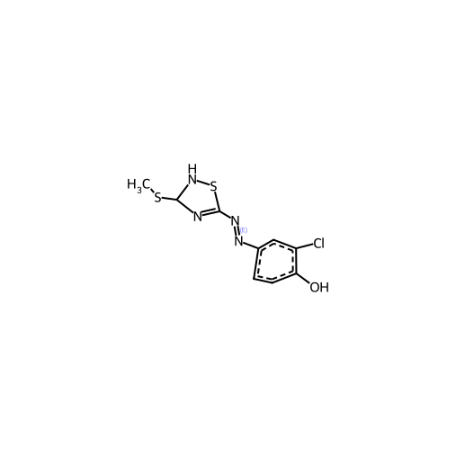 CSC1N=C(/N=N/c2ccc(O)c(Cl)c2)SN1